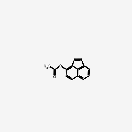 CC(=O)Oc1ccc2cccc3c2c1C=C3